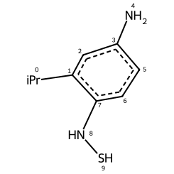 CC(C)c1cc(N)ccc1NS